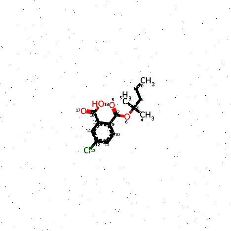 CCCC(C)(C)OC(=O)c1ccc(Cl)cc1C(=O)O